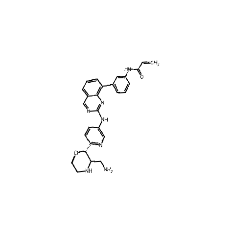 C=CC(=O)Nc1cccc(-c2cccc3cnc(Nc4ccc([C@H]5OCCNC5CN)nc4)nc23)c1